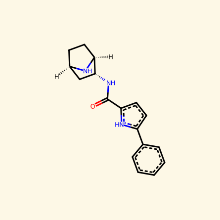 O=C(N[C@@H]1C[C@H]2CC[C@@H]1N2)c1ccc(-c2ccccc2)[nH]1